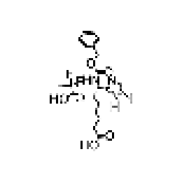 O=C(O)C(F)(F)F.O=C(O)CCCCC[C@H](NC(=O)OCc1ccccc1)c1ncc(I)[nH]1